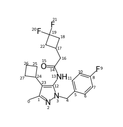 Cc1nn(Cc2ccc(F)cc2)c(NC(=O)CC2CC(F)(F)C2)c1C1CCC1